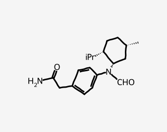 CC(C)[C@@H]1CC[C@H](C)C[C@@H]1N(C=O)c1ccc(CC(N)=O)cc1